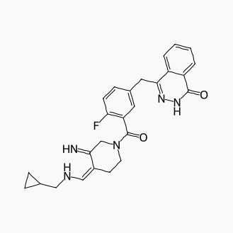 N=C1CN(C(=O)c2cc(Cc3n[nH]c(=O)c4ccccc34)ccc2F)CC/C1=C/NCC1CC1